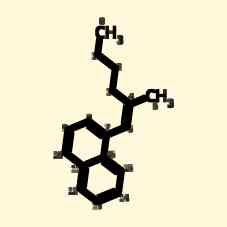 CCCCC(C)=Cc1cccc2ccccc12